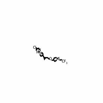 FC(F)(F)CCSN1CCC(COCCC2CC2C2CCN(c3ncc(Cl)cn3)CC2)CC1